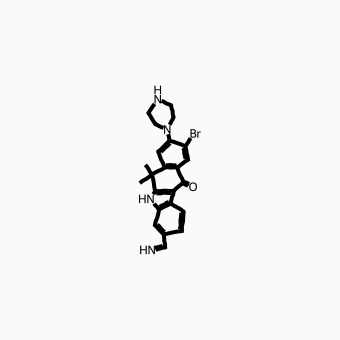 CC1(C)c2cc(N3CCNCC3)c(Br)cc2C(=O)c2c1[nH]c1cc(C=N)ccc21